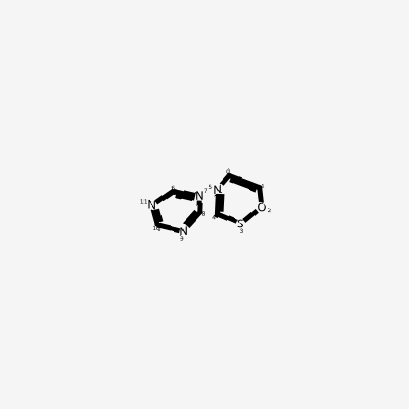 C1=COSC=N1.c1ncncn1